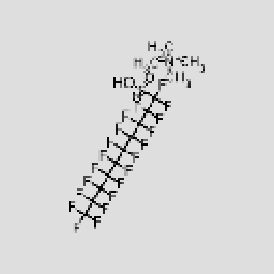 C[N+](C)(C)C.O=S(=O)(O)C(F)(F)C(F)(F)C(F)(F)C(F)(F)C(F)(F)C(F)(F)C(F)(F)C(F)(F)C(F)(F)C(F)(F)F